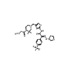 COCC(=O)N1CCN(Cc2cnc(NC(=O)/C(=N/O[C@@H]3CCOC3)c3ccc(S(C)(=O)=O)cc3)s2)CC1(C)C